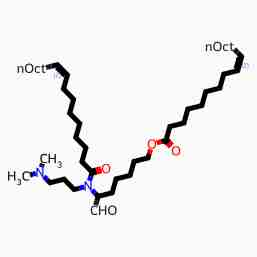 CCCCCCCC/C=C\CCCCCCCC(=O)OCCCCCC(C=O)N(CCCN(C)C)C(=O)CCCCCCC/C=C\CCCCCCCC